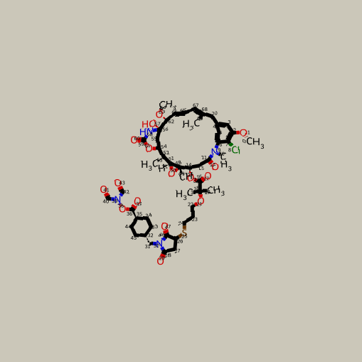 COc1cc2cc(c1Cl)N(C)C(=O)C[C@H](OC(=O)C(C)(C)OCCCSC1CC(=O)N(C[C@H]3CC[C@H](C(=O)ON(C=O)C=O)CC3)C1=O)[C@]1(C)O[C@H]1[C@H](C)C1C[C@@](O)(NC(=O)O1)[C@H](OC)/C=C/C=C(\C)C2